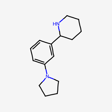 c1cc(C2CCCCN2)cc(N2CCCC2)c1